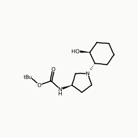 CC(C)(C)OC(=O)N[C@@H]1CCN([C@H]2CCCC[C@@H]2O)C1